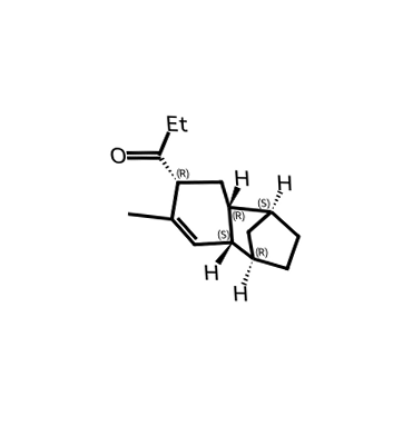 CCC(=O)[C@@H]1C[C@@H]2[C@H]3CC[C@H](C3)[C@@H]2C=C1C